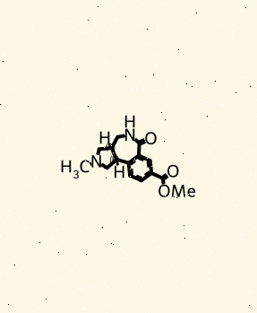 COC(=O)c1ccc2c(c1)C(=O)NC[C@@H]1CN(C)C[C@@H]21